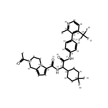 CC(=O)N1CCn2c(ccc2C(=O)NC(C(=O)Nc2ccc(-c3c(C(F)(F)F)ccnc3C)cc2)C2CCC(F)(F)CC2)C1